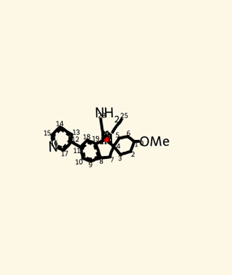 COC1CCC2(CC1)Cc1ccc(-c3cccnc3)cc1C21N=C(N)N(C)O1